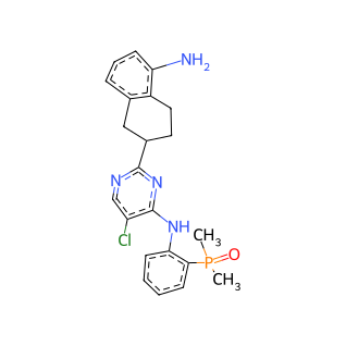 CP(C)(=O)c1ccccc1Nc1nc(C2CCc3c(N)cccc3C2)ncc1Cl